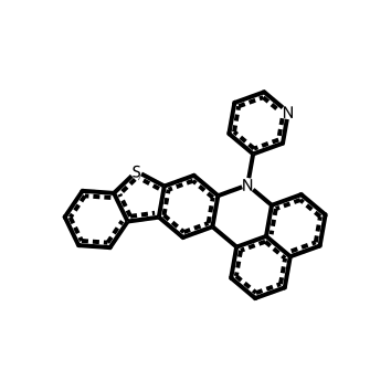 c1cncc(N2c3cc4sc5ccccc5c4cc3-c3cccc4cccc2c34)c1